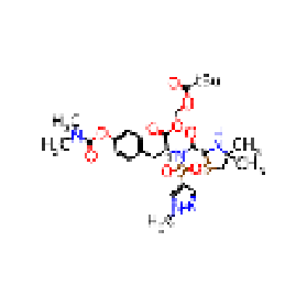 CN(C)C(=O)Oc1ccc(C[C@@H](C(=O)OCOC(=O)C(C)(C)C)N(C(=O)[C@H]2NC(C)(C)CS2)S(=O)(=O)c2cnn(C)c2)cc1